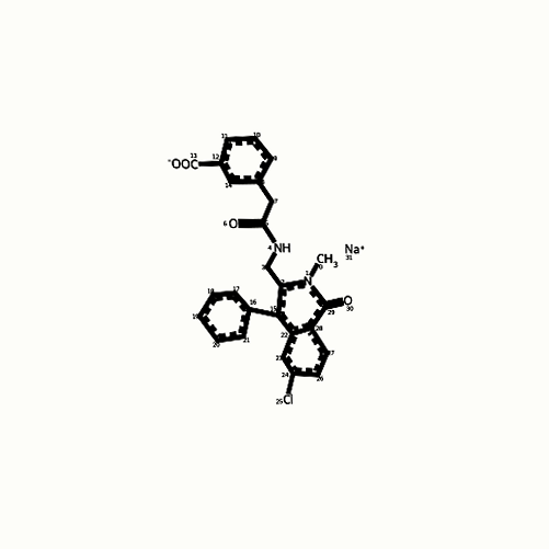 Cn1c(CNC(=O)Cc2cccc(C(=O)[O-])c2)c(-c2ccccc2)c2cc(Cl)ccc2c1=O.[Na+]